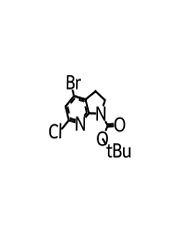 CC(C)(C)OC(=O)N1CCc2c(Br)cc(Cl)nc21